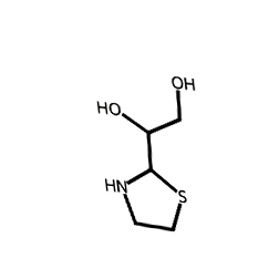 OCC(O)C1NCCS1